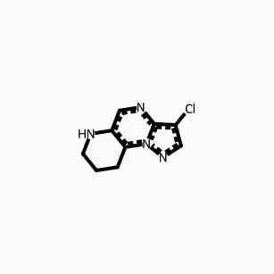 Clc1cnn2c3c(cnc12)NCCC3